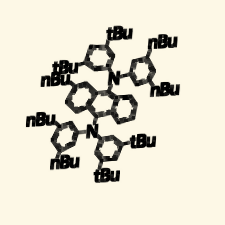 CCCCc1cc(CCCC)cc(N(c2cc(C(C)(C)C)cc(C(C)(C)C)c2)c2c3ccccc3c(N(c3cc(CCCC)cc(CCCC)c3)c3cc(C(C)(C)C)cc(C(C)(C)C)c3)c3cc(CCCC)ccc23)c1